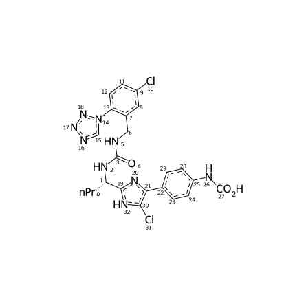 CCC[C@H](NC(=O)NCc1cc(Cl)ccc1-n1cnnn1)c1nc(-c2ccc(NC(=O)O)cc2)c(Cl)[nH]1